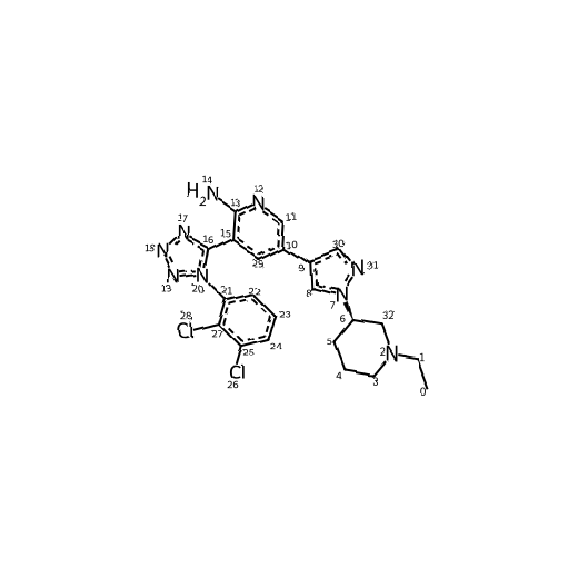 CCN1CCC[C@@H](n2cc(-c3cnc(N)c(-c4nnnn4-c4cccc(Cl)c4Cl)c3)cn2)C1